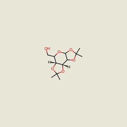 CC1(C)OC2OC(CO)[C@H]3OC(C)(C)O[C@H]3C2O1